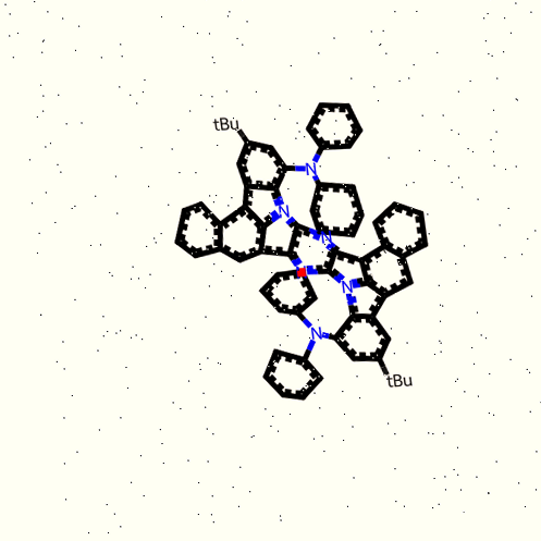 CC(C)(C)c1cc(N(c2ccccc2)c2ccccc2)c2c(c1)c1c3ccccc3cc3c4nc5c(nc4n2c31)c1c2ccccc2cc2c3cc(C(C)(C)C)cc(N(c4ccccc4)c4ccccc4)c3n5c21